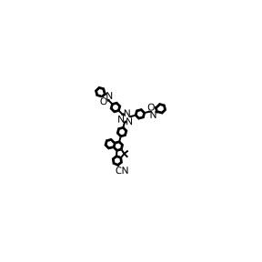 CC1(C)c2cc(C#N)ccc2-c2c1cc(-c1ccc(-c3nc(-c4ccc(-c5nc6ccccc6o5)cc4)nc(-c4ccc(-c5nc6ccccc6o5)cc4)n3)cc1)c1ccccc21